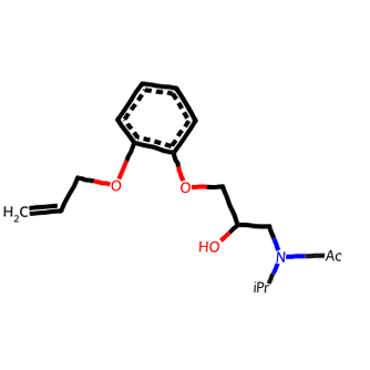 C=CCOc1ccccc1OCC(O)CN(C(C)=O)C(C)C